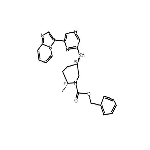 C[C@@H]1CC[C@@H](Nc2cncc(-c3cnc4ccccn34)n2)CN1C(=O)OCc1ccccc1